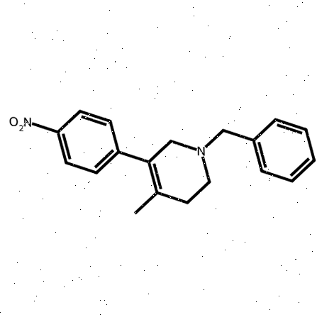 CC1=C(c2ccc([N+](=O)[O-])cc2)CN(Cc2ccccc2)CC1